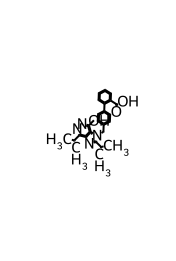 CC(C)c1nnc(O)c2c1nc(C(C)C)n2Cc1ccc(-c2ccccc2C(=O)O)cc1